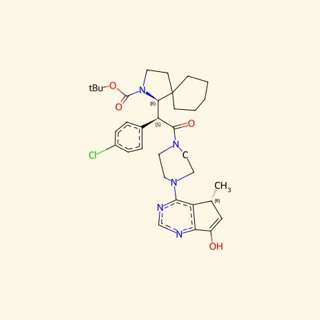 C[C@@H]1C=C(O)c2ncnc(N3CCN(C(=O)[C@@H](c4ccc(Cl)cc4)[C@H]4N(C(=O)OC(C)(C)C)CCC45CCCCC5)CC3)c21